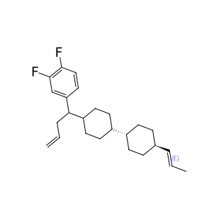 C=CCC(c1ccc(F)c(F)c1)C1CCC([C@H]2CC[C@H](/C=C/C)CC2)CC1